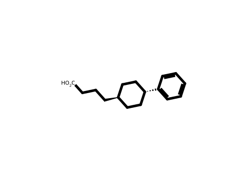 O=C(O)CCC[C@H]1CC[C@H](c2ccccc2)CC1